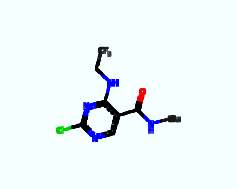 CC(C)(C)NC(=O)c1cnc(Cl)nc1NCC(F)(F)F